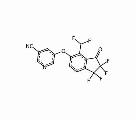 N#Cc1cncc(Oc2ccc3c(c2C(F)F)C(=O)C(F)(F)C3(F)F)c1